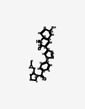 COCC1CCCN1C(=O)c1ccc(-n2cc(-c3cc4cc(F)ccc4[nH]c3=O)nn2)cc1